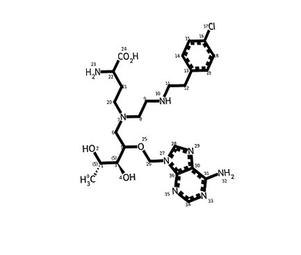 C[C@H](O)[C@H](O)C(CN(CCNCCc1ccc(Cl)cc1)CCC(N)C(=O)O)OCn1cnc2c(N)ncnc21